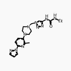 CCNC(=O)Nc1cn(CN2CCN(c3ccc(-n4cccn4)nc3C)CC2)nn1